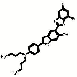 CCCCN(CCCC)c1ccc(-c2cc3cc(-c4nc5cc(Br)cc(Br)c5o4)c(O)cc3o2)cc1